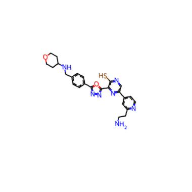 NCCc1cc(-c2cnc(S)c(-c3nnc(-c4ccc(CNC5CCOCC5)cc4)o3)n2)ccn1